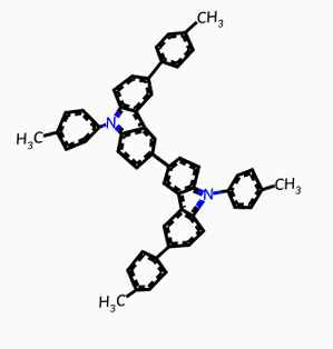 Cc1ccc(-c2ccc3c(c2)c2cc(-c4ccc5c(c4)c4cc(-c6ccc(C)cc6)ccc4n5-c4ccc(C)cc4)ccc2n3-c2ccc(C)cc2)cc1